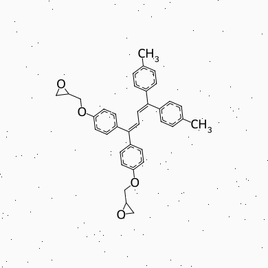 Cc1ccc(C(=CC=C(c2ccc(OCC3CO3)cc2)c2ccc(OCC3CO3)cc2)c2ccc(C)cc2)cc1